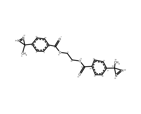 CC1(c2ccc(C(=O)OCCOC(=O)c3ccc(C4(C)N=N4)cc3)cc2)N=N1